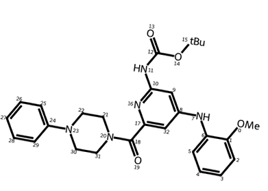 COc1ccccc1Nc1cc(NC(=O)OC(C)(C)C)nc(C(=O)N2CCN(c3ccccc3)CC2)c1